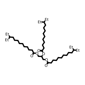 CCC(CC)CCCCCCCCCC(=O)OCC(COC(=O)CCCCCCCCCC(CC)CC)OC(=O)CCCCCCCCCC(CC)CC